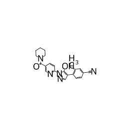 Cc1cc(C#N)ccc1-c1cnn(-c2ccc(C(=O)N3CCCCC3)cn2)c1O